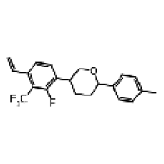 C=Cc1ccc(C2CCC(c3ccc(C)cc3)OC2)c(F)c1C(F)(F)F